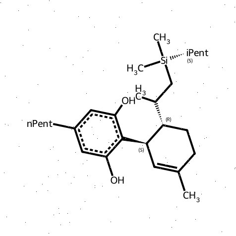 CCCCCc1cc(O)c([C@@H]2C=C(C)CC[C@H]2C(C)C[Si](C)(C)[C@@H](C)CCC)c(O)c1